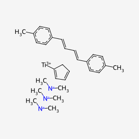 C[N-]C.C[N-]C.C[N-]C.Cc1ccc(C=CC=Cc2ccc(C)cc2)cc1.[Ti+3][C]1=CC=CC1